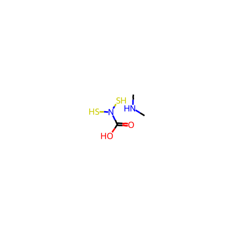 CNC.O=C(O)N(S)S